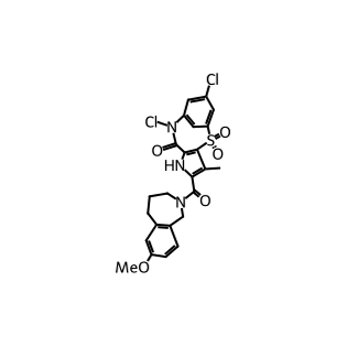 COc1ccc2c(c1)CCCN(C(=O)c1[nH]c3c(c1C)S(=O)(=O)c1cc(Cl)cc(c1)N(Cl)C3=O)C2